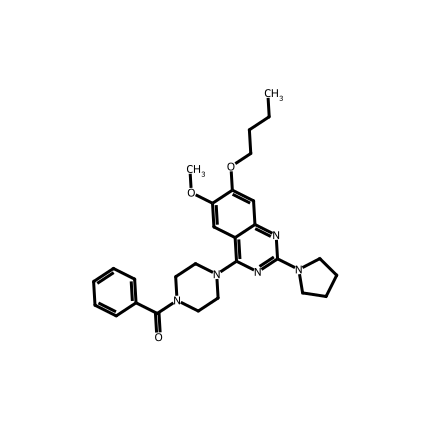 CCCCOc1cc2nc(N3CCCC3)nc(N3CCN(C(=O)c4ccccc4)CC3)c2cc1OC